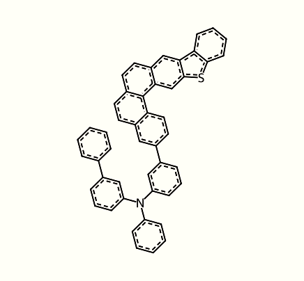 c1ccc(-c2cccc(N(c3ccccc3)c3cccc(-c4ccc5c(ccc6ccc7cc8c(cc7c65)sc5ccccc58)c4)c3)c2)cc1